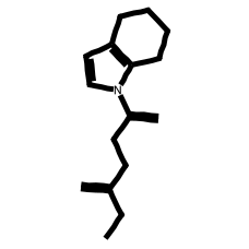 C=C(CC)CCC(=C)n1ccc2c1CCCC2